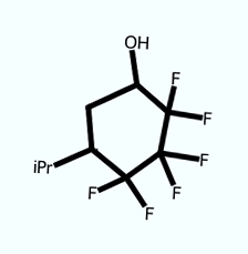 CC(C)[C]1CC(O)C(F)(F)C(F)(F)C1(F)F